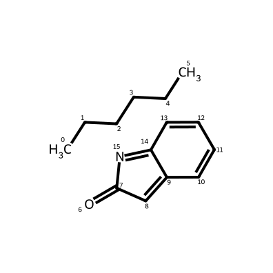 CCCCCC.O=C1C=c2ccccc2=N1